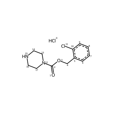 Cl.O=C(OCc1ccccc1Cl)N1CCNCC1